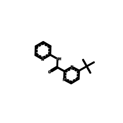 CC(C)(C)c1ccnc(C(=O)Nc2ccccn2)n1